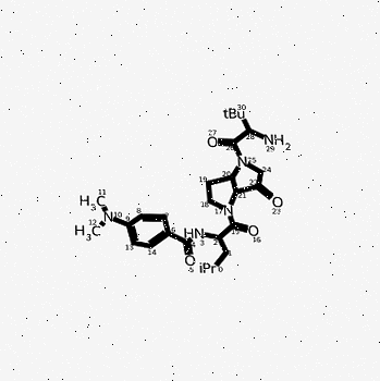 CC(C)CC(NC(=O)c1ccc(N(C)C)cc1)C(=O)N1CCC2C1C(=O)CN2C(=O)C(N)C(C)(C)C